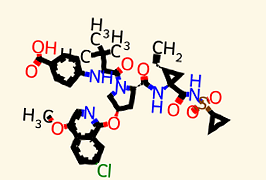 C=C[C@@H]1C[C@]1(NC(=O)[C@@H]1C[C@@H](Oc2ncc(OC)c3ccc(Cl)cc23)CN1C(=O)[C@@H](Nc1ccc(C(=O)O)cc1)C(C)(C)C)C(=O)NS(=O)(=O)C1CC1